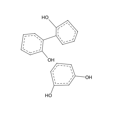 Oc1cccc(O)c1.Oc1ccccc1-c1ccccc1O